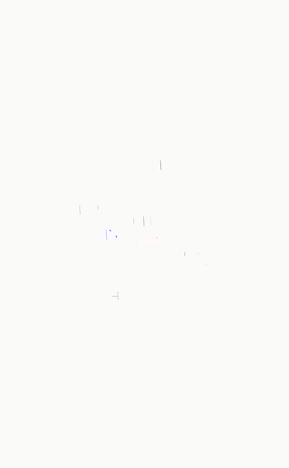 C=C/C=C\C(=C/C)C(=O)NC(C)(C)CCC